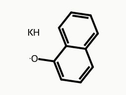 [KH].[O]c1cccc2ccccc12